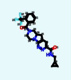 O=C(NCC1CC1)c1cc2c(nn1)N1CCN(C(=O)c3ccccc3C(F)(F)F)CC1C2